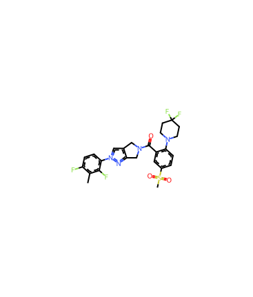 Cc1c(F)ccc(-n2cc3c(n2)CN(C(=O)c2cc(S(C)(=O)=O)ccc2N2CCC(F)(F)CC2)C3)c1F